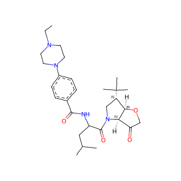 CCN1CCN(c2ccc(C(=O)NC(CC(C)C)C(=O)N3C[C@H](C(C)(C)C)[C@H]4OCC(=O)[C@H]43)cc2)CC1